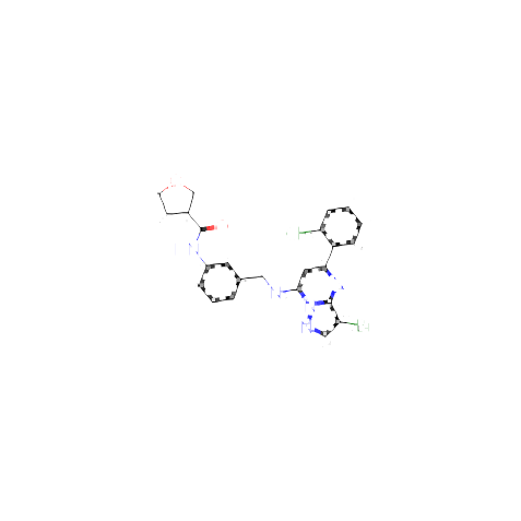 O=C(Nc1cccc(CNc2cc(-c3ccccc3Cl)nc3c(Br)cnn23)c1)C1CCOC1